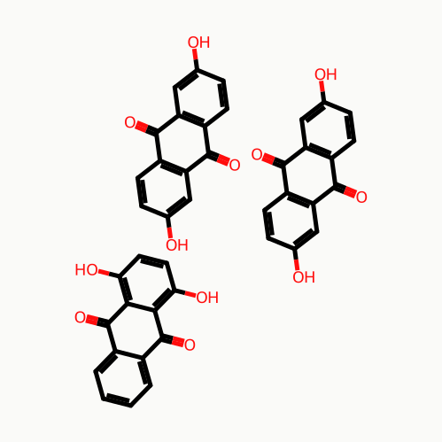 O=C1c2ccc(O)cc2C(=O)c2ccc(O)cc21.O=C1c2ccc(O)cc2C(=O)c2ccc(O)cc21.O=C1c2ccccc2C(=O)c2c(O)ccc(O)c21